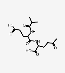 CC(=O)CCC(NC(=O)C(CCC(=O)O)NC(=O)C(C)C)C(=O)O